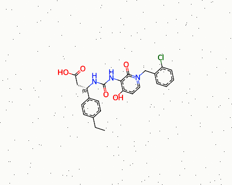 CCc1ccc([C@H](CC(=O)O)NC(=O)Nc2c(O)ccn(Cc3ccccc3Cl)c2=O)cc1